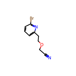 N#CCOCCc1cccc(Br)n1